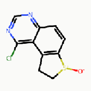 [O-][S+]1CCc2c1ccc1ncnc(Cl)c21